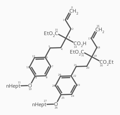 C=CCC(CCc1ccc(OCCCCCCC)cc1)(C(=O)O)C(=O)OCC.C=CCC(CCc1ccc(OCCCCCCC)cc1)(C(=O)OCC)C(=O)OCC